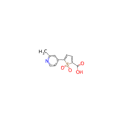 Cc1cc(C2=CC=C(C(=O)O)S2(=O)=O)ccn1